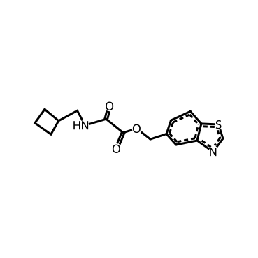 O=C(NCC1CCC1)C(=O)OCc1ccc2scnc2c1